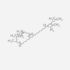 CCC(CCC(C)C)CSC(=O)CCCCCCCC(CCCCCCCC(=O)S/C=C(/CCC(C)C)C(C)C)OC(=O)CCCN(C)C